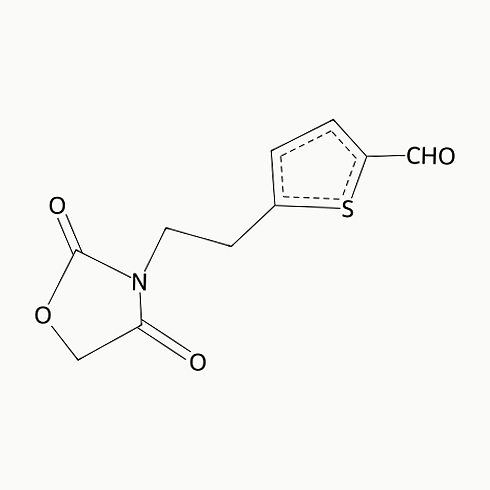 O=Cc1ccc(CCN2C(=O)COC2=O)s1